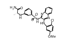 COc1ccc(Cl)c(Nc2nc3ccccc3nc2NS(=O)(=O)c2cccc(N[C@H](C)C(N)=O)c2)c1